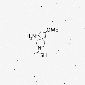 COC1C[C@@H](N)C2(CCN(C(C)S)CC2)C1